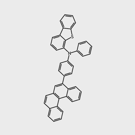 c1ccc(N(c2ccc(-c3cc4ccc5ccccc5c4c4ccccc34)cc2)c2cccc3c2sc2ccccc23)cc1